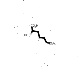 CC(=O)OCCCCC(C(=O)O)C(=O)O